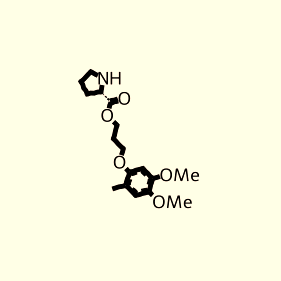 COc1cc(C)c(OCCCOC(=O)[C@@H]2CCCN2)cc1OC